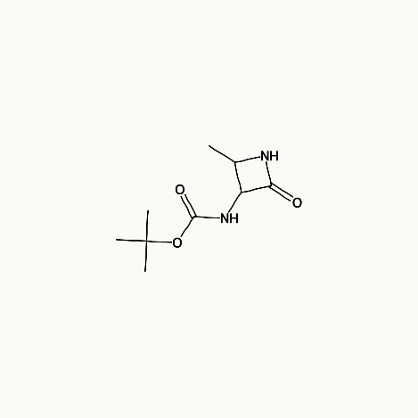 CC1NC(=O)C1NC(=O)OC(C)(C)C